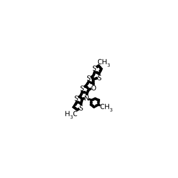 Cc1ccc(-n2c3c4oc5c(sc6c7sc(C)cc7sc56)c4sc3c3sc4cc(C)sc4c32)cc1